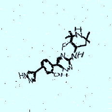 CC1(C)CC(Nc2ncc(-c3ccc(-c4cn[nH]c4)cc3O)nn2)[C@@H](F)C(C)(C)N1